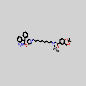 CC1(C)OCc2cc([C@H](CNCCCCCCCCCN3CC[C@@H](C(C(N)=O)(c4ccccc4)c4ccccc4)C3)O[Si](C)(C)C(C)(C)C)ccc2O1